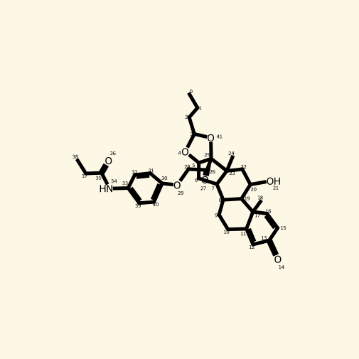 CCCC1OC2CC3C4CCC5=CC(=O)C=CC5(C)C4C(O)CC3(C)C2(C(=O)COc2ccc(NC(=O)CC)cc2)O1